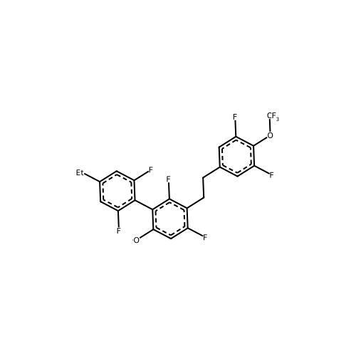 CCc1cc(F)c(-c2c([O])cc(F)c(CCc3cc(F)c(OC(F)(F)F)c(F)c3)c2F)c(F)c1